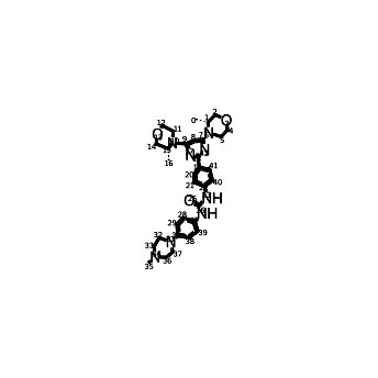 C[C@@H]1COCCN1c1cc(N2CCOC[C@H]2C)nc(-c2ccc(NC(=O)Nc3ccc(N4CCN(C)CC4)cc3)cc2)n1